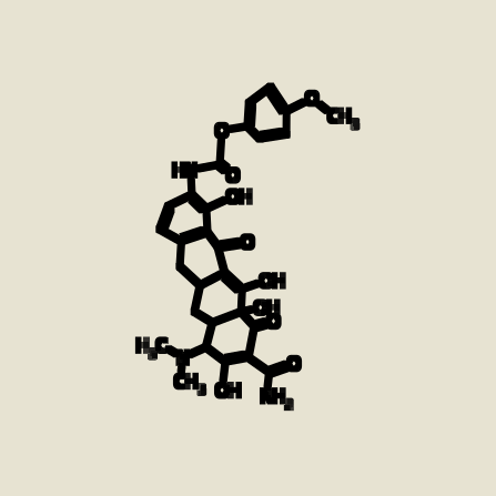 COc1ccc(OC(=O)Nc2ccc3c(c2O)C(=O)C2=C(O)C4(O)C(=O)C(C(N)=O)=C(O)C(N(C)C)C4CC2C3)cc1